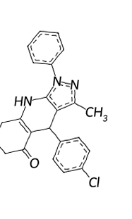 Cc1nn(-c2ccccc2)c2c1C(c1ccc(Cl)cc1)C1=C(CCCC1=O)N2